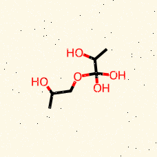 CC(O)COC(O)(O)C(C)O